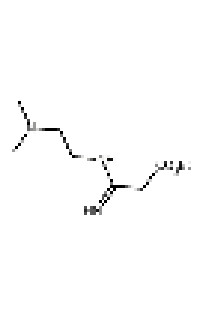 CCOC(=O)CC(=N)NCCN(C)C